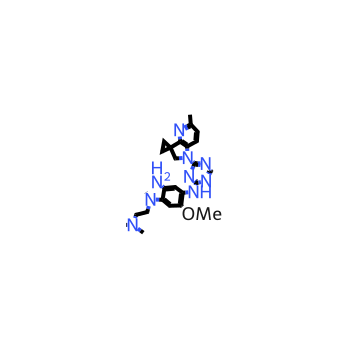 COc1cc(N(C)CCN(C)C)c(N)cc1Nc1ncnc(N2CC3(CC3)c3nc(C)ccc32)n1